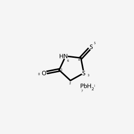 O=C1CSC(=S)N1.[PbH2]